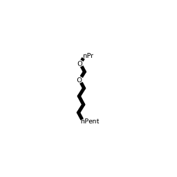 CCCCCCCCCOCOCCC